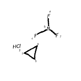 C1CC1.Cl.FN(F)F